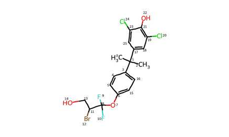 CC(C)(c1ccc(OC(F)(F)C(Br)CO)cc1)c1cc(Cl)c(O)c(Cl)c1